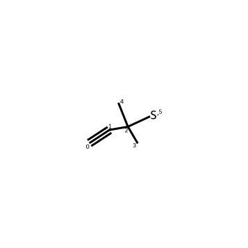 C#CC(C)(C)[S]